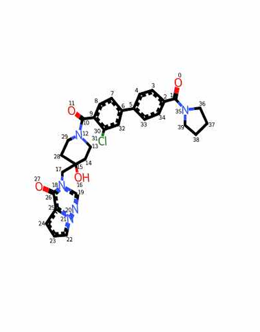 O=C(c1ccc(-c2ccc(C(=O)N3CCC(O)(Cn4cnn5cccc5c4=O)CC3)c(Cl)c2)cc1)N1CCCC1